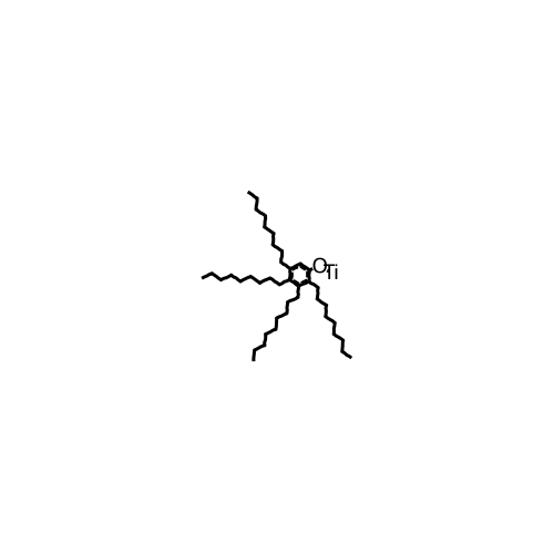 CCCCCCCCCc1cc([O][Ti])c(CCCCCCCCC)c(CCCCCCCCC)c1CCCCCCCCC